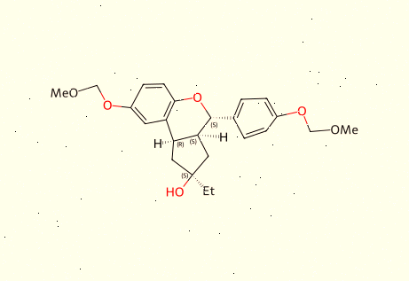 CC[C@@]1(O)C[C@@H]2[C@@H](c3ccc(OCOC)cc3)Oc3ccc(OCOC)cc3[C@@H]2C1